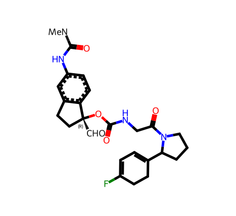 CNC(=O)Nc1ccc2c(c1)CC[C@@]2(C=O)OC(=O)NCC(=O)N1CCCC1C1=CC=C(F)CC1